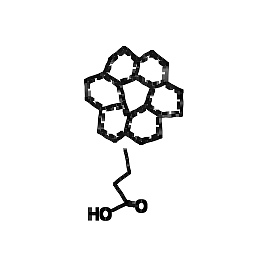 CCCC(=O)O.c1cc2ccc3ccc4ccc5ccc6ccc1c1c2c3c4c5c61